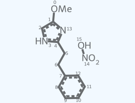 COc1c[nH]c(CCc2ccccc2)n1.O=[N+]([O-])O